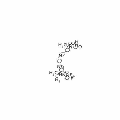 CC(C)Oc1cc2nc([C@H]3CC[C@H](CN4CCC(c5ccc6c(c5)n(C)c(=O)n6C5CCC(=O)NC5=O)CC4)CC3)cn2cc1C(=O)Nc1cccc(C(F)(F)F)n1